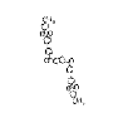 Cc1ccc(S(=O)(=O)c2ccc(-c3ccc(C(=O)c4ccc5cc(C(=O)c6ccc(-c7ccc(S(=O)(=O)c8ccc(C)cc8)cc7)cc6)ccc5c4)cc3)cc2)cc1